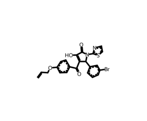 C=CCOc1ccc(C(=O)C2=C(O)C(=O)N(c3nccs3)C2c2cccc(Br)c2)cc1